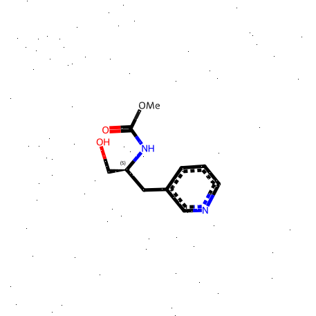 COC(=O)N[C@H](CO)Cc1cccnc1